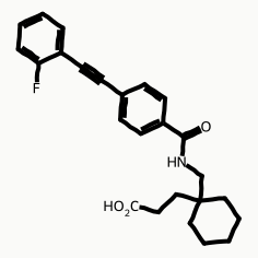 O=C(O)CCC1(CNC(=O)c2ccc(C#Cc3ccccc3F)cc2)CCCCC1